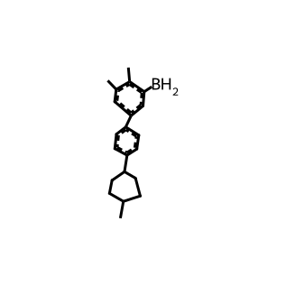 Bc1cc(-c2ccc(C3CCC(C)CC3)cc2)cc(C)c1C